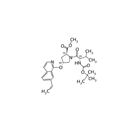 C=Cc1ccc2ccnc(O[C@@H]3C[C@@H](C(=O)OC)N(C(=O)[C@@H](NC(=O)OC(C)(C)C)C(C)C)C3)c2c1